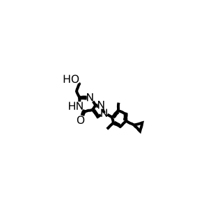 Cc1cc(C2CC2)cc(C)c1-n1cc2c(=O)[nH]c(CCO)nc2n1